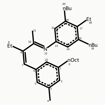 CCCCCCCCc1cc(C)cc(C=C(CC)C(C)=Nc2cc(CCCC)c(CC)c(CCCC)c2)c1